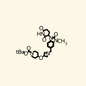 Cn1c(=O)n(C2CCC(=O)NC2=O)c2ccc(CN3CC(OC4CCN(C(=O)OC(C)(C)C)CC4)C3)cc21